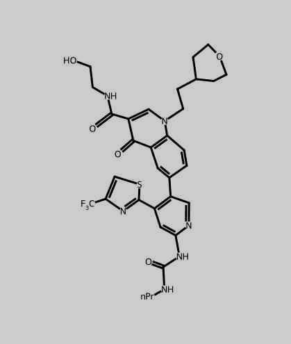 CCCNC(=O)Nc1cc(-c2nc(C(F)(F)F)cs2)c(-c2ccc3c(c2)c(=O)c(C(=O)NCCO)cn3CCC2CCOCC2)cn1